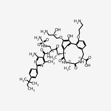 CCC(C)(C)c1ccc(-c2nc(C)c(C(=O)N[C@@H](CNS(N)(=O)=O)C(=O)N(C)[C@@H]3C(=O)N[C@@H](C)C(=O)N[C@H](C(=O)O)Cc4ccc(OCCCN)c(c4)-c4cc3cc(OC[C@H](O)CN)c4O)c(N)n2)cc1